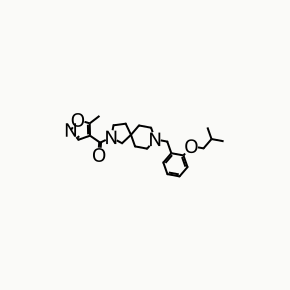 Cc1oncc1C(=O)N1CCC2(CCN(Cc3ccccc3OCC(C)C)CC2)C1